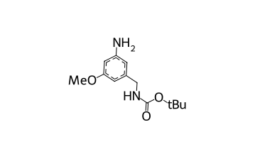 COc1cc(N)cc(CNC(=O)OC(C)(C)C)c1